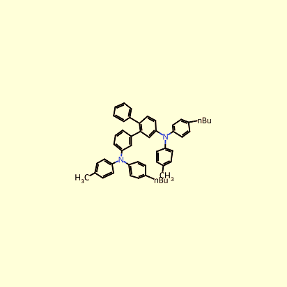 CCCCc1ccc(N(c2ccc(C)cc2)c2cccc(-c3cc(N(c4ccc(C)cc4)c4ccc(CCCC)cc4)ccc3-c3ccccc3)c2)cc1